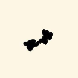 C(=C\c1cccc2c1-c1ccccc1C2(c1ccccc1)c1ccccc1)/c1ccc2c(c1)C1(CCCCC1)c1cc(N(c3nccc4ccccc34)c3nccc4ccccc34)ccc1-2